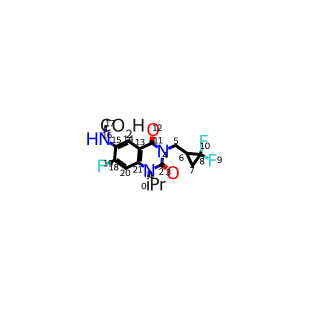 CC(C)n1c(=O)n(CC2CC2(F)F)c(=O)c2cc(NC(=O)O)c(F)cc21